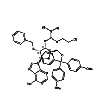 COc1ccc(C(OC[C@H]2O[C@@H](n3cnc4c(O)ncnc43)[C@H](OCc3ccccc3)[C@@H]2OP(OCCC#N)N(C(C)C)C(C)C)(c2ccccc2)c2ccc(OC)cc2)cc1